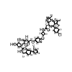 Cc1sc2c(c1C)C(c1ccc(Cl)cc1)=N[C@@H](CC(=O)N[C@H]1C[C@@H](Oc3ccc(OCC(=O)NC(C(=O)N4C[C@H](O)C[C@H]4C(=O)N[C@@H](C)c4ccc(-c5nccn5C)cc4)C(C)(C)C)cn3)C1)c1nnc(C)n1-2